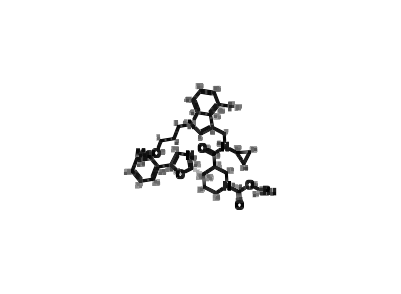 COCCCn1cc(CN(C(=O)C2CN(C(=O)OC(C)(C)C)CC[C@@H]2c2ncc(-c3ccccc3)o2)C2CC2)c2c(F)cccc21